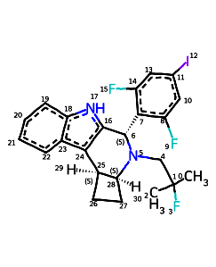 CC(C)(F)CN1[C@@H](c2c(F)cc(I)cc2F)c2[nH]c3ccccc3c2[C@@H]2CC[C@@H]21